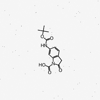 CC(C)(C)OC(=O)Nc1ccc2c(c1)N(C(=O)O)C(=O)C2